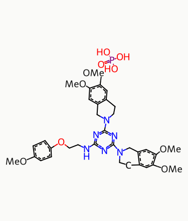 COc1ccc(OCCNc2nc(N3CCc4cc(OC)c(OC)cc4C3)nc(N3CCc4cc(OC)c(OC)cc4C3)n2)cc1.O=P(O)(O)O